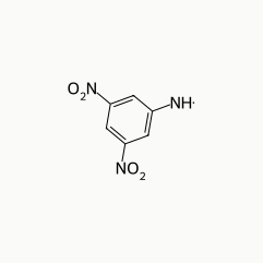 [NH]c1cc([N+](=O)[O-])cc([N+](=O)[O-])c1